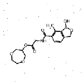 Cc1c(C(=O)NCC(=O)OC2COCCOC2)ccc2c1B(O)OC2